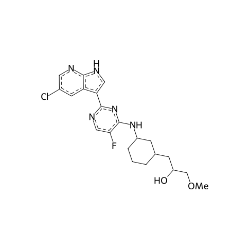 COCC(O)CC1CCCC(Nc2nc(-c3c[nH]c4ncc(Cl)cc34)ncc2F)C1